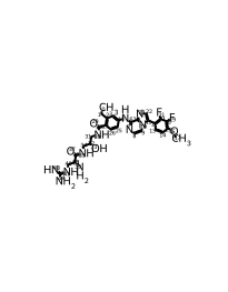 CCc1cc(Nc2nccn3c(-c4ccc(OC)c(F)c4F)cnc23)ccc1C(=O)NCC(O)CNC(=O)[C@H](N)CNC(=N)N